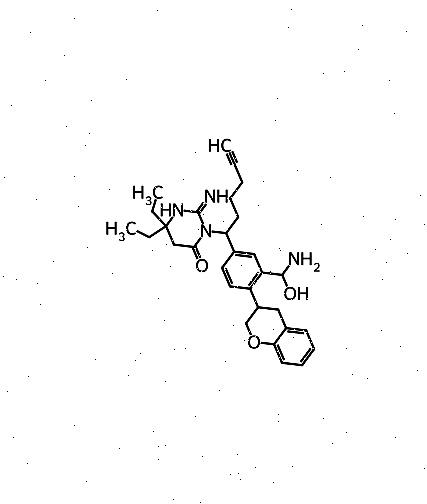 C#CCCCC(c1ccc(C2COc3ccccc3C2)c(C(N)O)c1)N1C(=N)NC(CC)(CC)CC1=O